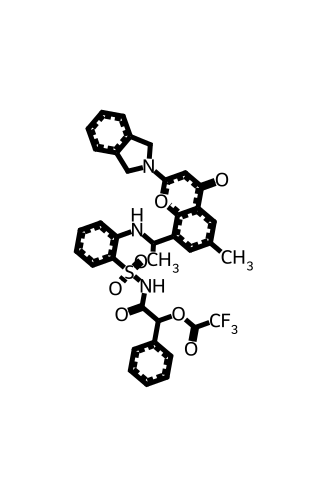 Cc1cc(C(C)Nc2ccccc2S(=O)(=O)NC(=O)C(OC(=O)C(F)(F)F)c2ccccc2)c2oc(N3Cc4ccccc4C3)cc(=O)c2c1